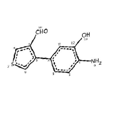 Nc1ccc(-c2cscc2C=O)cc1O